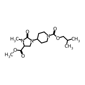 COC(=O)C1CN(C2CCN(C(=O)OCC(C)C)CC2)C(=O)N1C